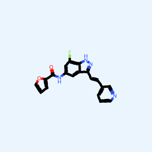 O=C(Nc1cc(F)c2[nH]nc(C=Cc3cccnc3)c2c1)c1ccco1